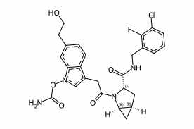 NC(=O)On1cc(CC(=O)N2[C@@H]3C[C@@H]3C[C@H]2C(=O)NCc2cccc(Cl)c2F)c2ccc(CCO)cc21